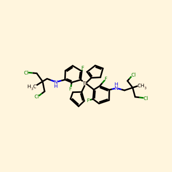 CC(CCl)(CCl)CNc1ccc(F)[c]([Ti]([C]2=CC=CC2)([C]2=CC=CC2)[c]2c(F)ccc(NCC(C)(CCl)CCl)c2F)c1F